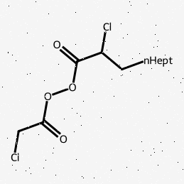 CCCCCCCCC(Cl)C(=O)OOC(=O)CCl